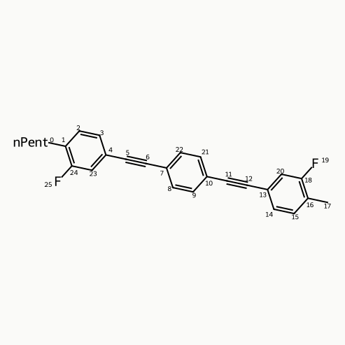 CCCCCc1ccc(C#Cc2ccc(C#Cc3ccc(C)c(F)c3)cc2)cc1F